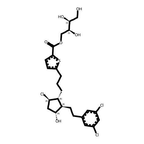 O=C(OC[C@H](O)[C@@H](O)CO)c1ccc(CCC[C@@H]2[C@@H](CCc3cc(Cl)cc(Cl)c3)[C@H](O)C[C@H]2Cl)s1